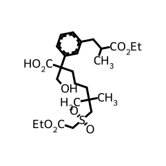 CCOC(=O)CS(=O)(=O)CC(C)(C)CCCC(CO)(C(=O)O)c1cccc(CC(C)C(=O)OCC)c1